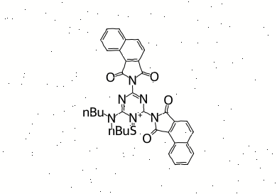 CCCCN(CCCC)C1=NC(N2C(=O)c3ccc4ccccc4c3C2=O)=NC(N2C(=O)c3ccc4ccccc4c3C2=O)[N+]1=S